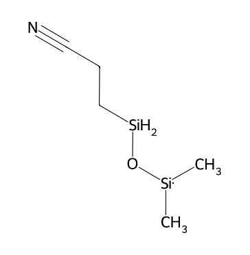 C[Si](C)O[SiH2]CCC#N